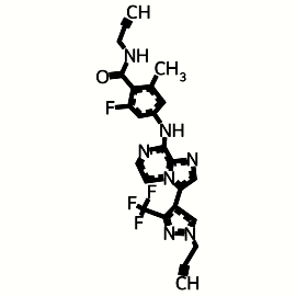 C#CCNC(=O)c1c(C)cc(Nc2nccn3c(-c4cn(CC#C)nc4C(F)(F)F)cnc23)cc1F